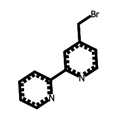 BrCc1ccnc(-c2ccccn2)c1